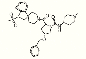 CN1CCC(NC(=O)N2C[C@H](OCc3ccccc3)CC2C(=O)N2CCC3(CC2)CN(S(C)(=O)=O)c2ccccc23)CC1